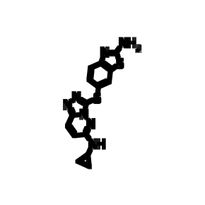 Nc1nc2ccc(Sc3nnc4ccc(NC5CC5)nn34)cc2s1